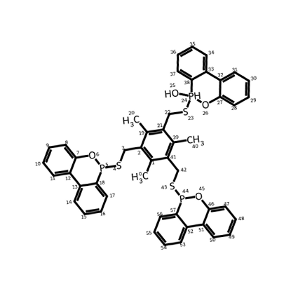 Cc1c(CSP2Oc3ccccc3-c3ccccc32)c(C)c(CS[PH]2(O)Oc3ccccc3-c3ccccc32)c(C)c1CSP1Oc2ccccc2-c2ccccc21